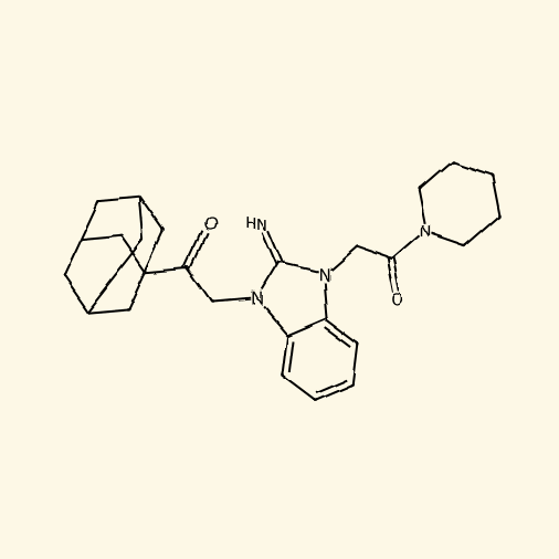 N=c1n(CC(=O)N2CCCCC2)c2ccccc2n1CC(=O)C12CC3CC(CC(C3)C1)C2